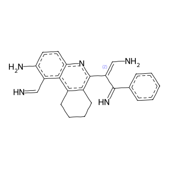 N=Cc1c(N)ccc2nc(/C(=C/N)C(=N)c3ccccc3)c3c(c12)CCCC3